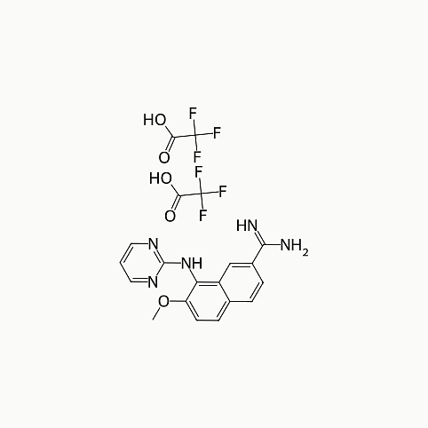 COc1ccc2ccc(C(=N)N)cc2c1Nc1ncccn1.O=C(O)C(F)(F)F.O=C(O)C(F)(F)F